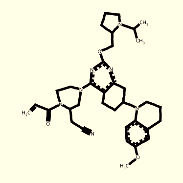 C=CC(=O)N1CCN(c2nc(OCC3CCCN3C(C)C)nc3c2CCC(N2CCCc4cc(OC)ccc42)C3)CC1CC#N